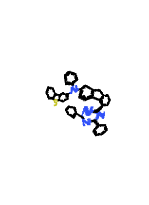 c1ccc(-c2nc(-c3ccccc3)nc(-c3cccc4c3-c3ccc(N(c5ccccc5)c5ccc6sc7ccccc7c6c5)cc3C4)n2)cc1